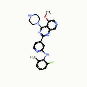 COc1cncc2nc(-c3ccnc(Nc4c(C)cccc4F)c3)nc(N3CCNCC3)c12